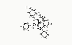 O=C(c1ccccc1)c1ccccc1N(C(=O)OCc1ccccc1)[C@@H](Cc1ccc(O)cc1)C(=O)O